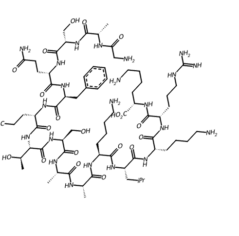 CC(C)C[C@H](NC(=O)[C@H](CCCCN)NC(=O)[C@H](C)NC(=O)[C@H](C)NC(=O)[C@H](CO)NC(=O)[C@@H](NC(=O)[C@H](CCC(=O)O)NC(=O)[C@H](Cc1ccccc1)NC(=O)[C@H](CCC(N)=O)NC(=O)[C@H](CO)NC(=O)[C@H](C)NC(=O)CN)[C@@H](C)O)C(=O)N[C@@H](CCCCN)C(=O)N[C@@H](CCCNC(=N)N)C(=O)N[C@@H](CCCCN)C(=O)O